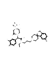 CCN(CCCN1CCC2(CC1)OCc1ccc(F)cc12)C(=O)C(c1ccc(F)c(F)c1)N1CCN(S(C)(=O)=O)CC1=O